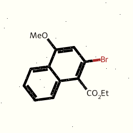 CCOC(=O)c1c(Br)cc(OC)c2ccccc12